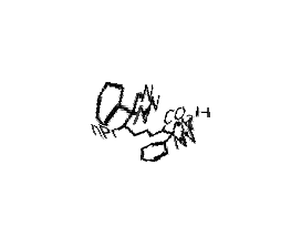 [CH2]CCC(CCCC(C(=O)O)C1(c2ccccc2)C=NN=N1)C1(c2ccccc2)C=NN=N1